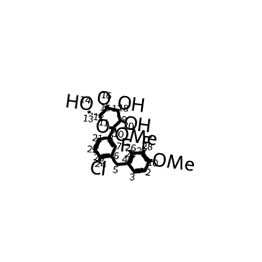 COc1ccc(Cc2cc([C@]3(OC)O[C@H](CO)C(=O)[C@H](O)[C@H]3O)ccc2Cl)c(F)c1F